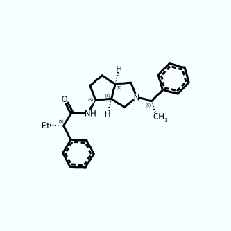 CC[C@H](C(=O)N[C@H]1CC[C@H]2CN([C@@H](C)c3ccccc3)C[C@H]21)c1ccccc1